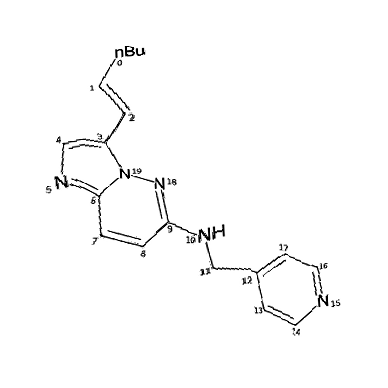 CCCCC=Cc1cnc2ccc(NCc3ccncc3)nn12